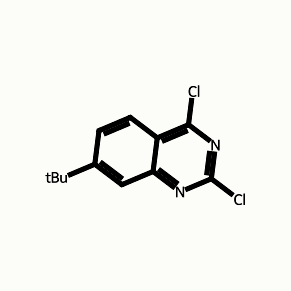 CC(C)(C)c1ccc2c(Cl)nc(Cl)nc2c1